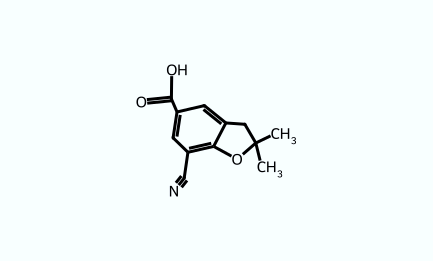 CC1(C)Cc2cc(C(=O)O)cc(C#N)c2O1